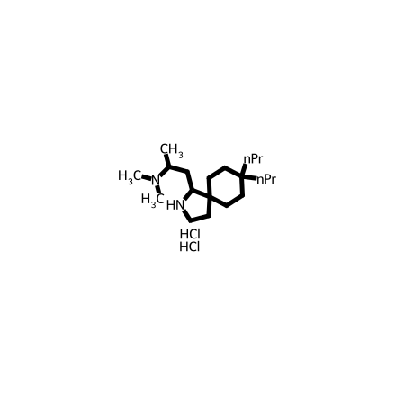 CCCC1(CCC)CCC2(CCNC2CC(C)N(C)C)CC1.Cl.Cl